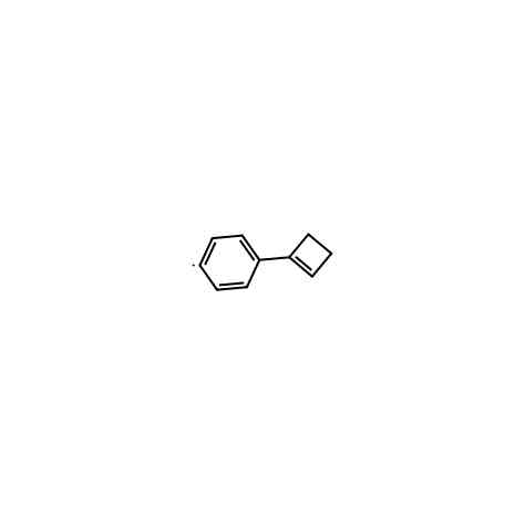 [c]1ccc(C2=CCC2)cc1